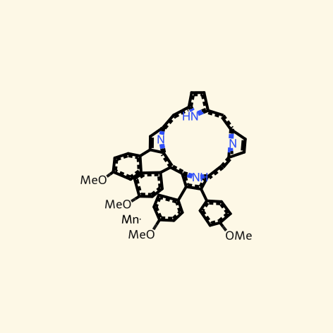 COc1ccc(C2=Cc3cc4ccc(cc5nc(cc6[nH]c(c(-c7ccc(OC)cc7)c2n3)c(-c2ccc(OC)cc2)c6-c2ccc(OC)cc2)C=C5)[nH]4)cc1.[Mn]